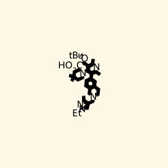 CCn1cc(CN2CCc3cc(-c4c(C)nc(C)c(C(OC(C)(C)C)C(=O)O)c4N4CCC(C)(C)CC4)ccc3C2)c(C)n1